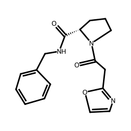 O=C(NCc1ccccc1)[C@@H]1CCCN1C(=O)Cc1ncco1